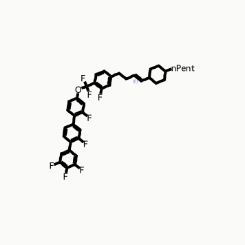 CCCCCC1CCC(/C=C/CCc2ccc(C(F)(F)Oc3ccc(-c4ccc(-c5cc(F)c(F)c(F)c5)c(F)c4)c(F)c3)c(F)c2)CC1